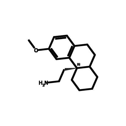 COc1ccc2c(c1)[C@]1(CCN)CCCCC1CC2